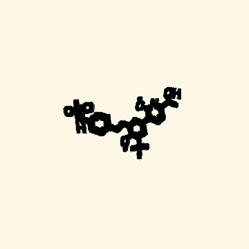 COc1nc(C(C)O)ccc1-c1cc(/C=C/c2ccc(NS(C)(=O)=O)cc2)c(OC)c(C(C)(C)C)c1